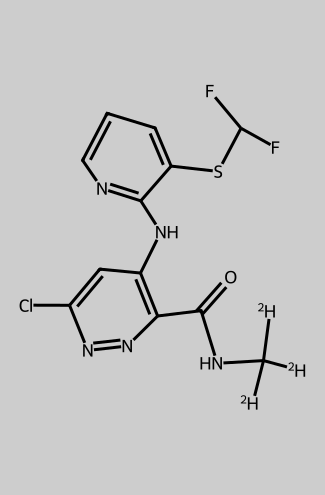 [2H]C([2H])([2H])NC(=O)c1nnc(Cl)cc1Nc1ncccc1SC(F)F